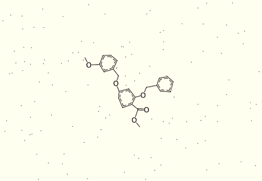 COC(=O)c1ccc(OCc2cccc(OC)c2)cc1OCc1ccccc1